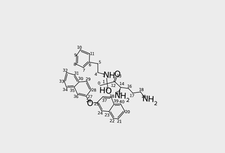 CC(O)(NCCc1ccccc1)C(=O)[C@H](N)CCCN.c1ccc2cc(Oc3ccc4ccccc4c3)ccc2c1